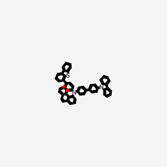 c1ccc2c(c1)ccc1cccc(N(c3ccc(-c4ccc(-n5c6ccccc6c6ccccc65)cc4)cc3)c3ccc(-c4cccc5c4sc4ccccc45)cc3)c12